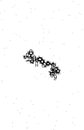 CC[C@H]1CC[C@@H](c2nc3ccc4cc5c(cc4c3[nH]2)OCc2cc(-c3cnc([C@@H]4CC6CCC[C@@H]6N4C(=O)[C@@H](NC(=O)OC)C(C)C)[nH]3)ccc2-5)N1C(=O)[C@@H](NC(=O)OC)C1CCOCC1